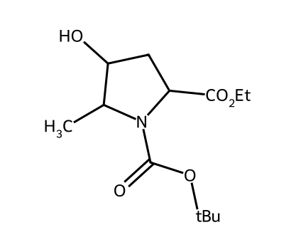 CCOC(=O)C1CC(O)C(C)N1C(=O)OC(C)(C)C